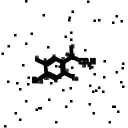 Cc1cc(N(C)C(=O)O)c(I)cc1Br